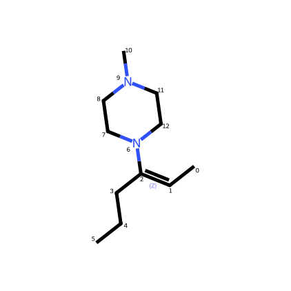 C/C=C(/CCC)N1CCN(C)CC1